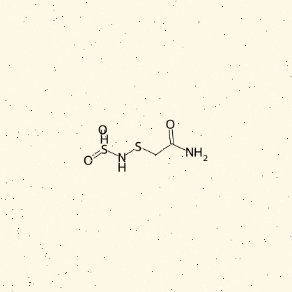 NC(=O)CSN[SH](=O)=O